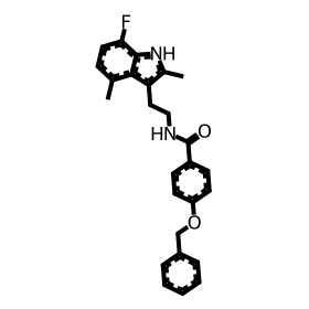 Cc1[nH]c2c(F)ccc(C)c2c1CCNC(=O)c1ccc(OCc2ccccc2)cc1